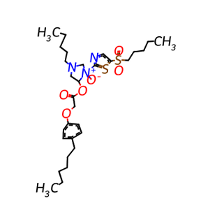 CCCCCCc1ccc(OCC(=O)OC2CN(CCCCC)C[N+]2([O-])c2ncc(S(=O)(=O)CCCCC)s2)cc1